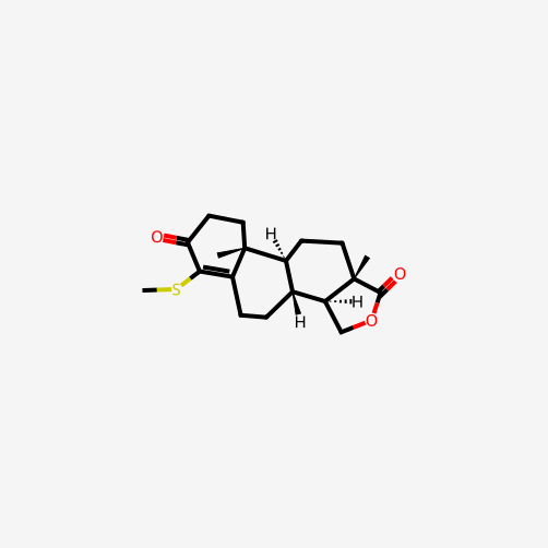 CSC1=C2CC[C@@H]3[C@H](CC[C@]4(C)C(=O)OC[C@@H]34)[C@@]2(C)CCC1=O